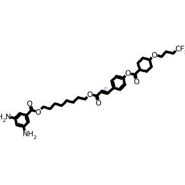 Nc1cc(N)cc(C(=O)OCCCCCCCCOC(=O)/C=C/c2ccc(OC(=O)C3CCC(OCCCC(F)(F)F)CC3)cc2)c1